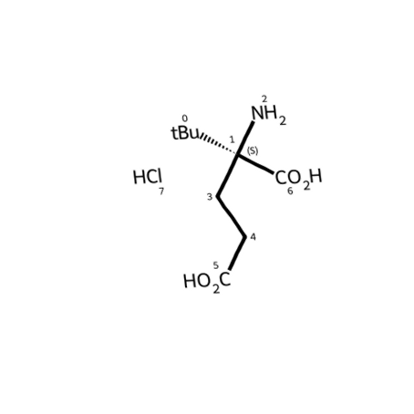 CC(C)(C)[C@@](N)(CCC(=O)O)C(=O)O.Cl